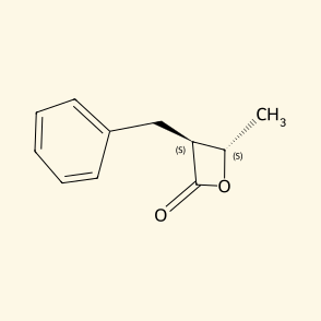 C[C@@H]1OC(=O)[C@H]1Cc1ccccc1